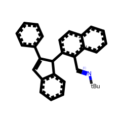 CC(C)(C)/N=C/c1c(C2C(c3ccccc3)=Cc3ccccc32)ccc2ccccc12